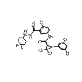 O=C(NNC1CCC(F)(F)CC1)c1cc(NC(=O)C2C(c3cc(Cl)cc(Cl)c3)C2(Cl)Cl)ccc1Cl